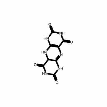 O=C1NC(=O)C2Nc3[nH]c(=O)[nH]c(=O)c3N=C2N1